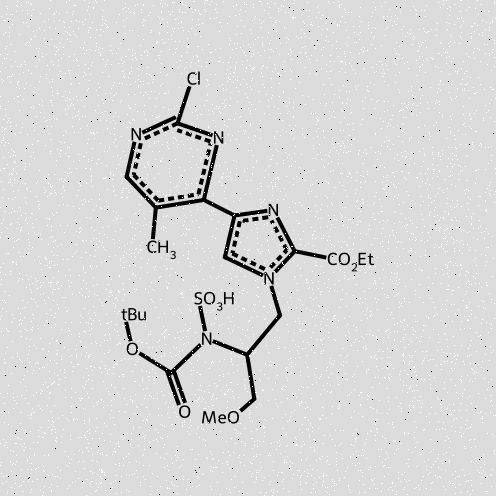 CCOC(=O)c1nc(-c2nc(Cl)ncc2C)cn1CC(COC)N(C(=O)OC(C)(C)C)S(=O)(=O)O